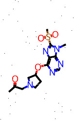 CC(=O)CN1CCC(Oc2ncnc3c2nc(S(C)(=O)=O)n3C)C1